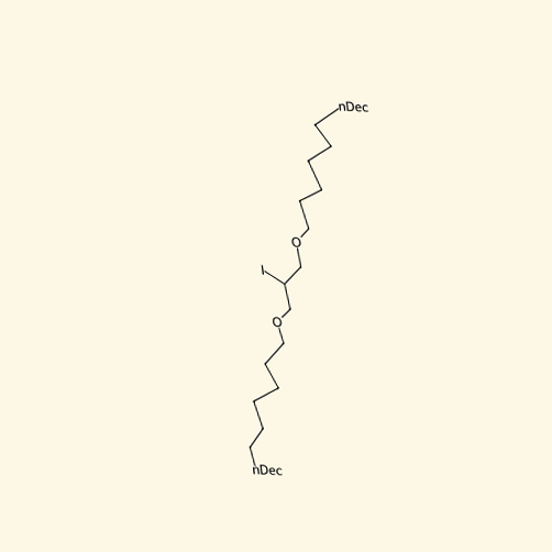 CCCCCCCCCCCCCCCCOCC(I)COCCCCCCCCCCCCCCCC